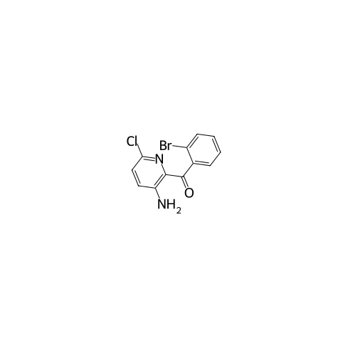 Nc1ccc(Cl)nc1C(=O)c1ccccc1Br